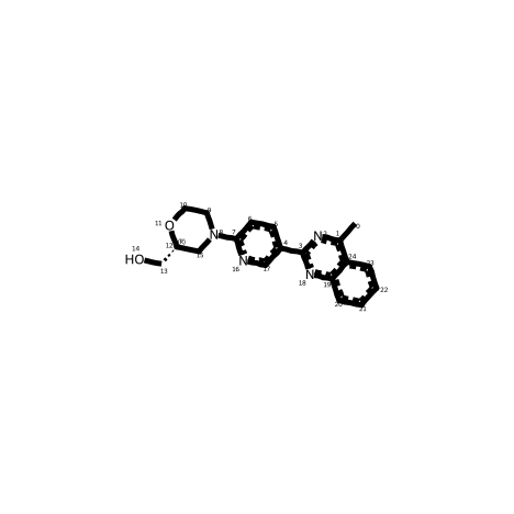 Cc1nc(-c2ccc(N3CCO[C@@H](CO)C3)nc2)nc2ccccc12